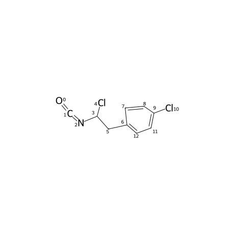 O=C=NC(Cl)Cc1ccc(Cl)cc1